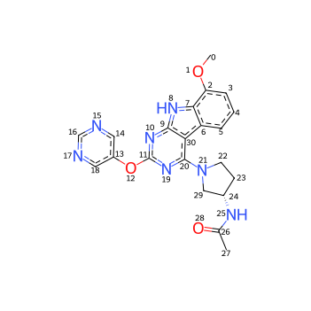 COc1cccc2c1[nH]c1nc(Oc3cncnc3)nc(N3CC[C@H](NC(C)=O)C3)c12